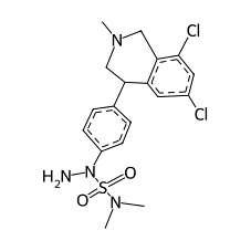 CN1Cc2c(Cl)cc(Cl)cc2C(c2ccc(N(N)S(=O)(=O)N(C)C)cc2)C1